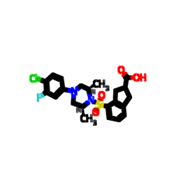 C[C@@H]1CN(c2ccc(Cl)c(F)c2)C[C@H](C)N1S(=O)(=O)c1cccc2c1CC(C(=O)O)C2